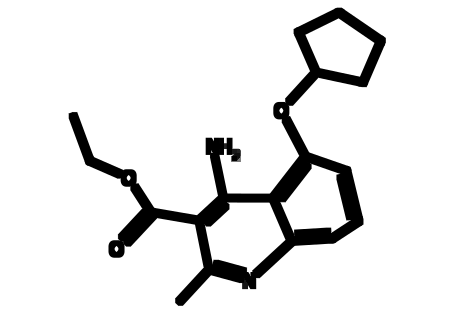 CCOC(=O)c1c(C)nc2cccc(OC3CCCC3)c2c1N